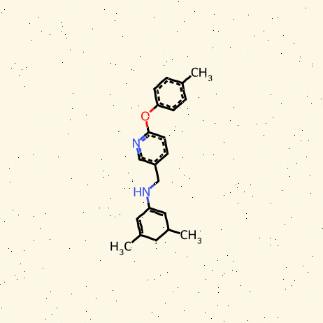 CC1=CC(NCc2ccc(Oc3ccc(C)cc3)nc2)=CC(C)[CH]1